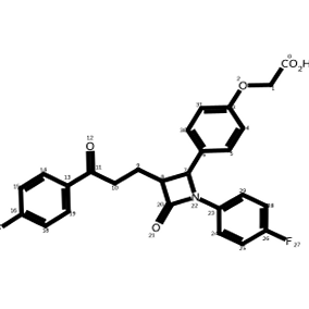 O=C(O)COc1ccc(C2C(CCC(=O)c3ccc(F)cc3)C(=O)N2c2ccc(F)cc2)cc1